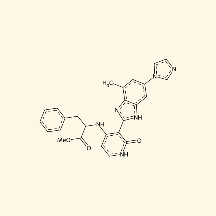 COC(=O)C(Cc1ccccc1)Nc1cc[nH]c(=O)c1-c1nc2c(C)cc(-n3ccnc3)cc2[nH]1